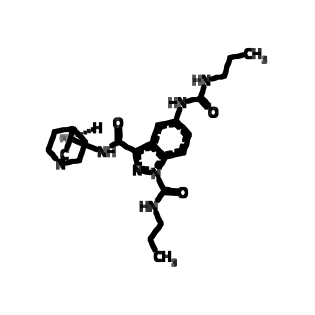 CCCNC(=O)Nc1ccc2c(c1)c(C(=O)N[C@H]1CN3CCC1CC3)nn2C(=O)NCCC